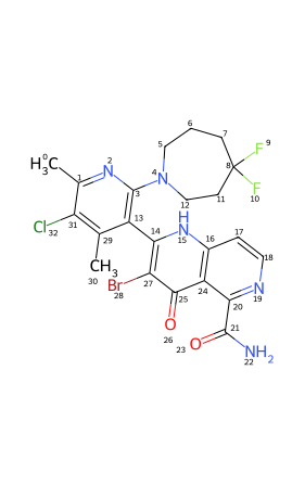 Cc1nc(N2CCCC(F)(F)CC2)c(-c2[nH]c3ccnc(C(N)=O)c3c(=O)c2Br)c(C)c1Cl